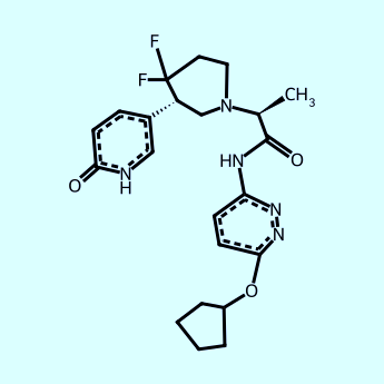 C[C@@H](C(=O)Nc1ccc(OC2CCCC2)nn1)N1CCC(F)(F)[C@@H](c2ccc(=O)[nH]c2)C1